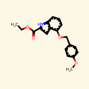 CCOC(=O)c1cc2c(OCc3ccc(OC)cc3)cccc2[nH]1